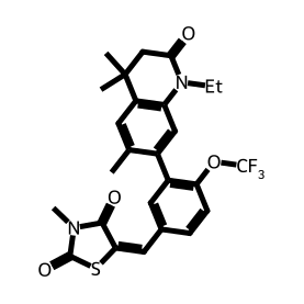 CCN1C(=O)CC(C)(C)c2cc(C)c(-c3cc(C=C4SC(=O)N(C)C4=O)ccc3OC(F)(F)F)cc21